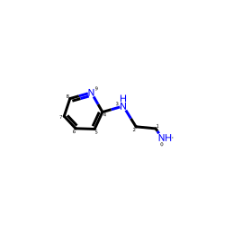 [NH]CCNc1ccccn1